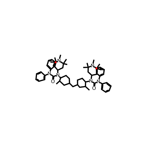 CC1CC(CC2CCC(N(C(=O)N(c3ccccc3)c3ccccc3)C3CC(C)(C)N(C)C(C)(C)C3)C(C)C2)CCC1N(C(=O)N(c1ccccc1)c1ccccc1)C1CC(C)(C)N(C)C(C)(C)C1